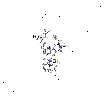 Cc1cccc2cccc(N3CCc4c(nc(OCCN(C)CC5CC5)nc4N4CCN(C)C(CC#N)C4)C3)c12